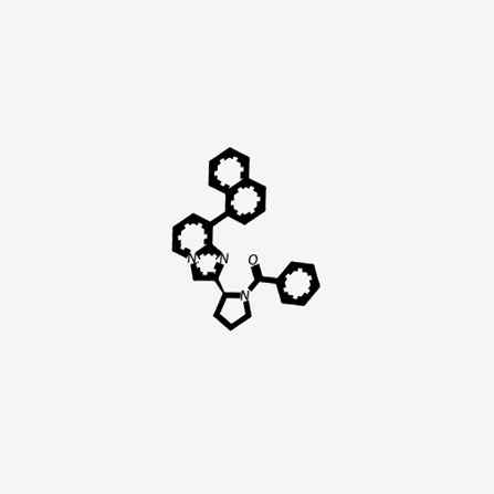 O=C(c1ccccc1)N1CCC[C@H]1c1cn2cccc(-c3cccc4ccccc34)c2n1